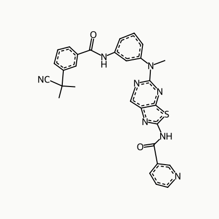 CN(c1cccc(NC(=O)c2cccc(C(C)(C)C#N)c2)c1)c1ncc2nc(NC(=O)c3cccnc3)sc2n1